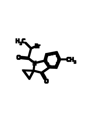 Cc1ccc2c(c1)C(=O)C1(CC1)N2C(=O)C(C)Br